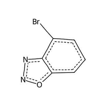 Brc1cccc2onnc12